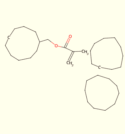 C1CCCCCCCCC1.C1CCCCCCCCC1.C=C(C)C(=O)OCC1CCCCCCCCC1